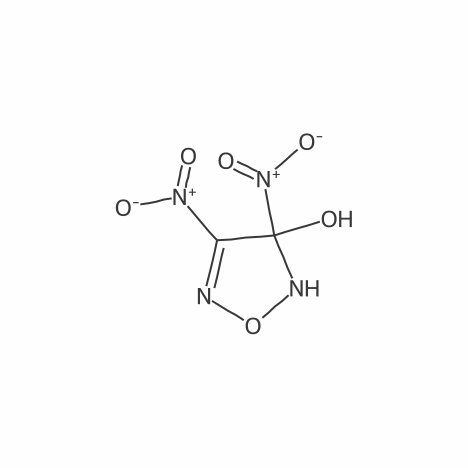 O=[N+]([O-])C1=NONC1(O)[N+](=O)[O-]